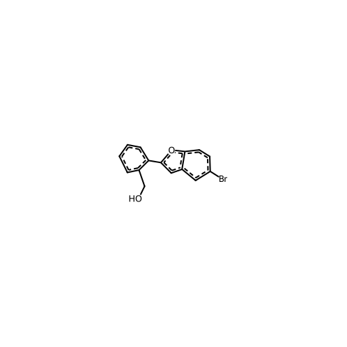 OCc1ccccc1-c1cc2cc(Br)ccc2o1